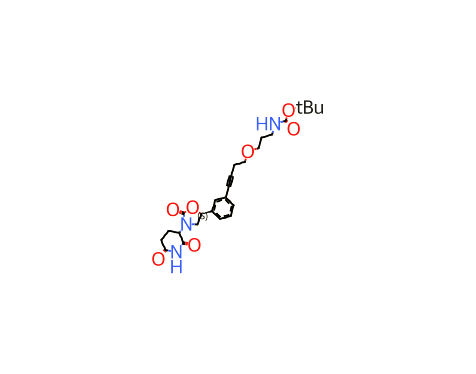 CC(C)(C)OC(=O)NCCCOCCC#Cc1cccc([C@H]2CN(C3CCC(=O)NC3=O)C(=O)O2)c1